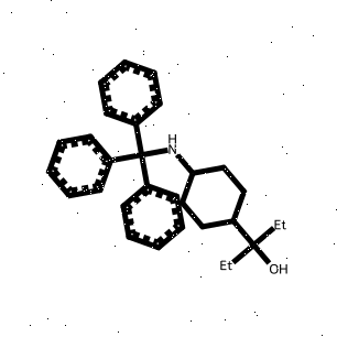 CCC(O)(CC)C1CCC(NC(c2ccccc2)(c2ccccc2)c2ccccc2)CC1